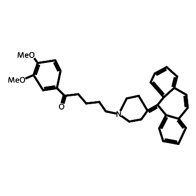 COc1ccc(C(=O)CCCCN2CCC(=C3c4ccccc4C=Cc4ccccc43)CC2)cc1OC